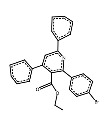 CCOC(=O)c1c(-c2ccccc2)cc(-c2ccccc2)nc1-c1ccc(Br)cc1